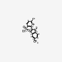 CCS(=O)(=O)c1ccc(F)nc1-c1nc2cc(C(F)(F)F)ccc2n1C